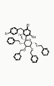 CCc1ccc(Cc2cc([C@@]3(CO)O[C@H](COCc4ccccc4)[C@@H](OCc4ccccc4)[C@@H](OCc4ccccc4)[C@@H]3OCc3ccccc3)c(O)cc2Cl)cc1